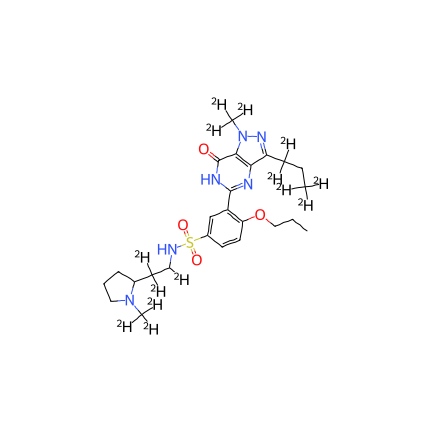 [2H]C(NS(=O)(=O)c1ccc(OCCC)c(-c2nc3c(C([2H])([2H])CC([2H])([2H])[2H])nn(C([2H])([2H])[2H])c3c(=O)[nH]2)c1)C([2H])([2H])C1CCCN1C([2H])([2H])[2H]